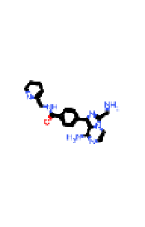 NCc1nc(-c2ccc(C(=O)NCc3ccccn3)cc2)c2c(N)nccn12